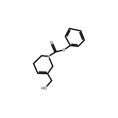 O=C(Oc1ccccc1)N1CCC=C(CO)C1